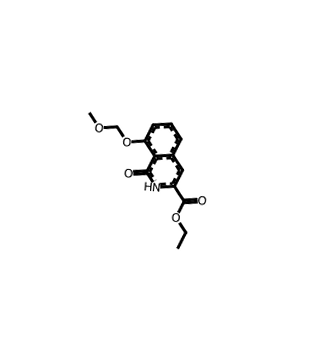 CCOC(=O)c1cc2cccc(OCOC)c2c(=O)[nH]1